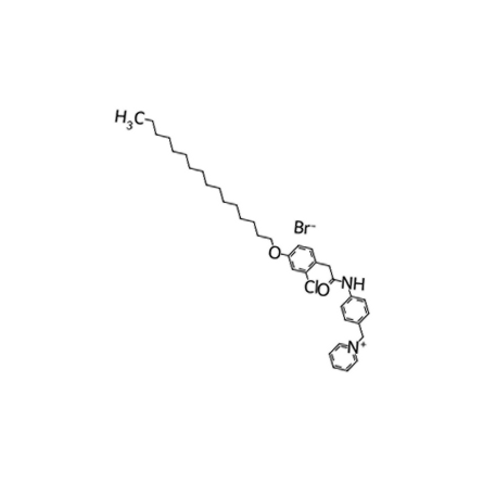 CCCCCCCCCCCCCCCCOc1ccc(CC(=O)Nc2ccc(C[n+]3ccccc3)cc2)c(Cl)c1.[Br-]